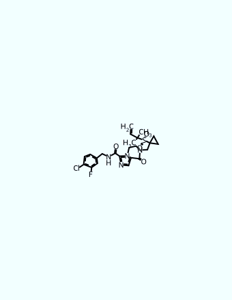 C=CC(C)(C)S(=O)(=O)C1(CN2CCn3c(cnc3C(=O)NCc3ccc(Cl)c(F)c3)C2=O)CC1